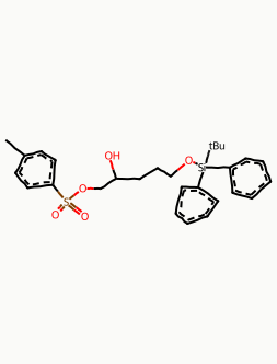 Cc1ccc(S(=O)(=O)OCC(O)CCCO[Si](c2ccccc2)(c2ccccc2)C(C)(C)C)cc1